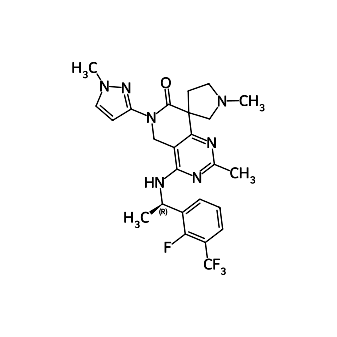 Cc1nc(N[C@H](C)c2cccc(C(F)(F)F)c2F)c2c(n1)C1(CCN(C)C1)C(=O)N(c1ccn(C)n1)C2